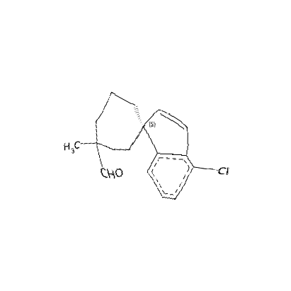 CC1(C=O)CCC[C@@]2(C=Cc3c(Cl)cccc32)C1